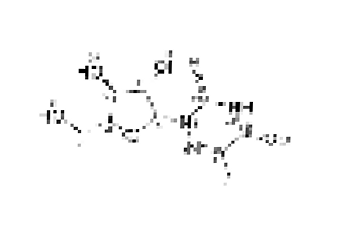 Cc1nn([C@@H]2O[C@H](CO)[C@@H](O)[C@@H]2O)c(=S)[nH]c1=O